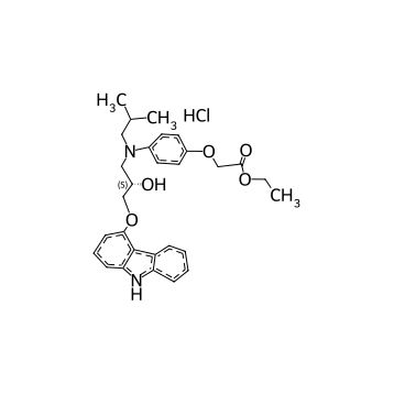 CCOC(=O)COc1ccc(N(CC(C)C)C[C@H](O)COc2cccc3[nH]c4ccccc4c23)cc1.Cl